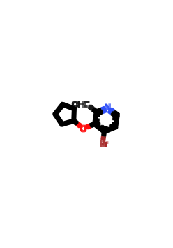 O=Cc1nccc(Br)c1OC1CCCC1